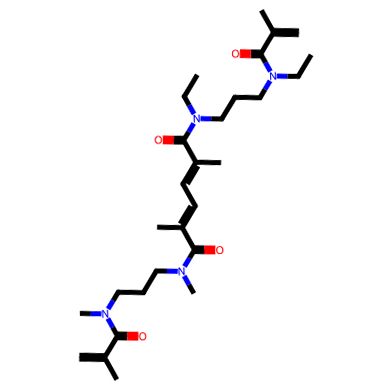 C=C(C)C(=O)N(C)CCCN(C)C(=O)/C(C)=C/C=C(\C)C(=O)N(CC)CCCN(CC)C(=O)C(=C)C